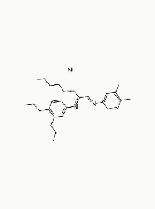 CCCCCCC(C=Nc1ccc(C)c(C)c1)=Nc1ccc(CCC)c(CCC)c1.[Ni]